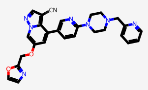 N#Cc1cnn2cc(OCc3ncco3)cc(-c3ccc(N4CCN(Cc5ccccn5)CC4)nc3)c12